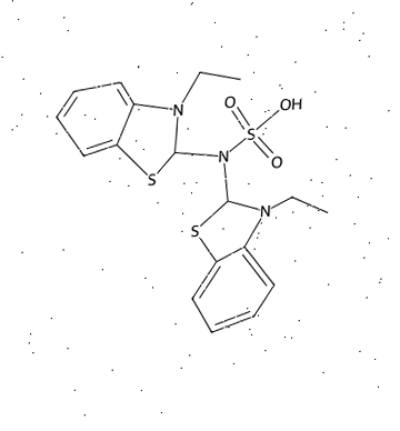 CCN1c2ccccc2SC1N(C1Sc2ccccc2N1CC)S(=O)(=O)O